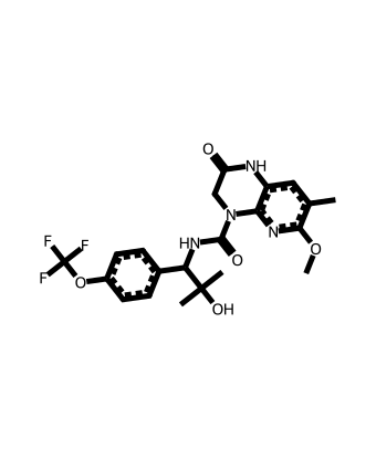 COc1nc2c(cc1C)NC(=O)CN2C(=O)NC(c1ccc(OC(F)(F)F)cc1)C(C)(C)O